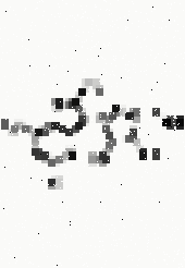 Cc1nc2c(N)nc(Cl)nc2n1[C@@H]1O[C@H](CO)C(O)C1O